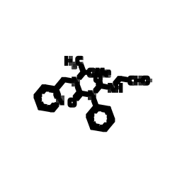 COC(C)N(Cc1ccccn1)C(=O)N(C(=O)NC[C]=O)c1ccccc1